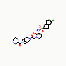 O=C(CN1CCC[C@H](NS(=O)(=O)c2ccc3cc(Cl)ccc3c2)C1=O)N1CC2CC(C1)CN(C(=O)C1CCCNC1)C2